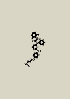 Cc1cccc(C)c1OC(=O)N(c1ccnc(Nc2ccc(OCCCN(C)C)cc2)n1)c1ccccc1C(C)C